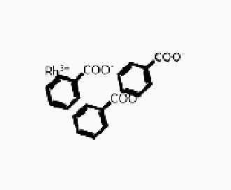 O=C([O-])c1ccccc1.O=C([O-])c1ccccc1.O=C([O-])c1ccccc1.[Rh+3]